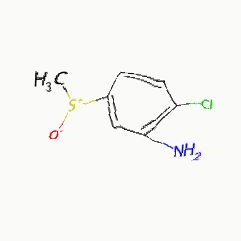 C[S+]([O-])c1ccc(Cl)c(N)c1